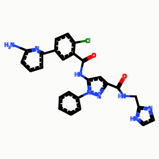 Nc1cccc(-c2ccc(Cl)c(C(=O)Nc3cc(C(=O)NCc4ncc[nH]4)nn3-c3ccccc3)c2)n1